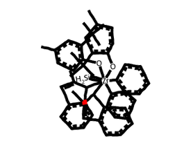 CC1=Cc2ccccc2[CH]1[Zr](=[SiH2])([O]c1ccc(C)cc1C(C)(C)C)([O]c1ccc(C)cc1C(C)(C)C)([c]1ccccc1)([c]1ccccc1)[CH]1C(C)=Cc2ccccc21